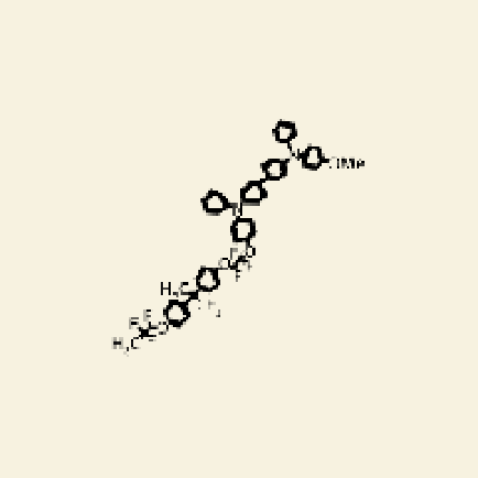 COc1ccc(N(c2ccccc2)c2ccc(-c3ccc(N(c4ccccc4)c4ccc(OC(F)(F)C(F)Oc5ccc(C(C)(c6ccc(OC(F)C(C)(F)F)cc6)C(F)(F)F)cc5)cc4)cc3)cc2)cc1